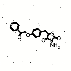 NN1C(=O)SC(Cc2ccc(OCC(=O)c3ccccc3)cc2)C1=O